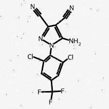 N#Cc1nn(-c2c(Cl)cc(C(F)(F)F)cc2Cl)c(N)c1C#N